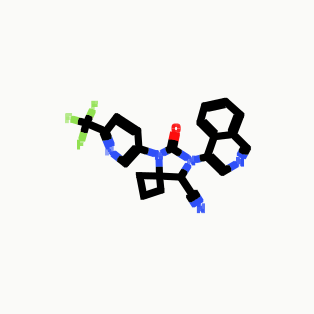 N#CC1N(c2cncc3ccccc23)C(=O)N(c2ccc(C(F)(F)F)nc2)C12CCC2